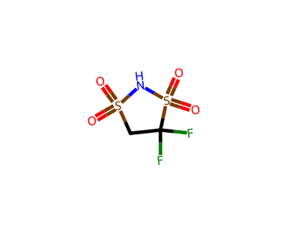 O=S1(=O)CC(F)(F)S(=O)(=O)N1